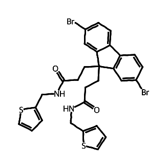 O=C(CCC1(CCC(=O)NCc2cccs2)c2cc(Br)ccc2-c2ccc(Br)cc21)NCc1cccs1